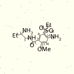 CCC(N)CNC(=O)c1cc(S(=O)(=O)CC)c(N)cc1OC